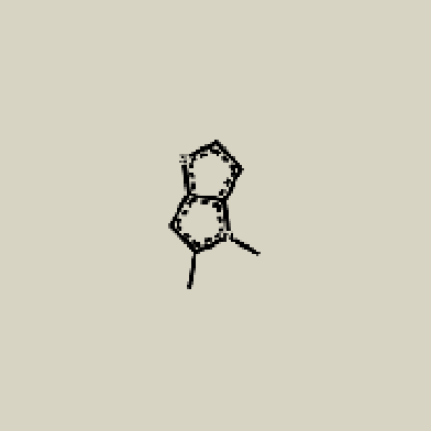 Cc1cc2sccc2n1C